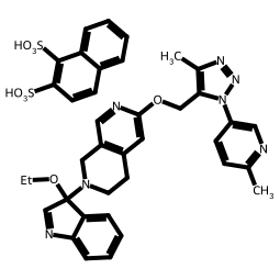 CCOC1(N2CCc3cc(OCc4c(C)nnn4-c4ccc(C)nc4)ncc3C2)C=Nc2ccccc21.O=S(=O)(O)c1ccc2ccccc2c1S(=O)(=O)O